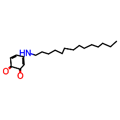 CCCCCCCCCCCCCCNC1=CC(=O)C(=O)C=C1